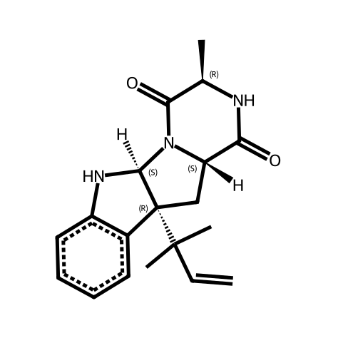 C=CC(C)(C)[C@@]12C[C@H]3C(=O)N[C@H](C)C(=O)N3[C@@H]1Nc1ccccc12